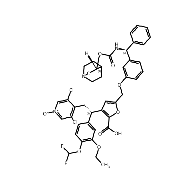 CCOc1cc([C@H](Cc2c(Cl)c[n+]([O-])cc2Cl)c2cc(COc3cccc([C@@H](NC(=O)O[C@H]4CN5CCC4CC5)c4ccccc4)c3)oc2C(=O)O)ccc1OC(F)F